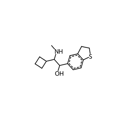 CNC(C1CCC1)C(O)c1ccc2c(c1)CCS2